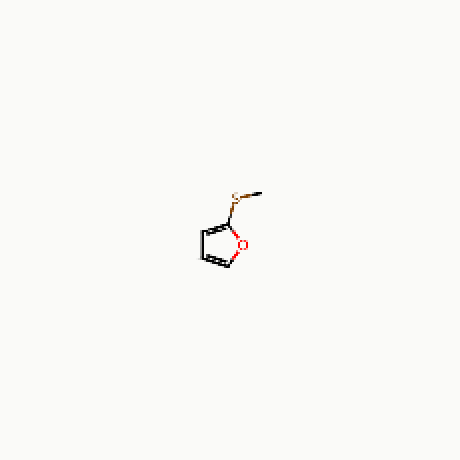 CSc1c[c]co1